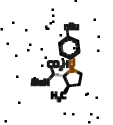 CCCCc1ccc([SH]2CC[C@@H](C)[C@@H]2C(NC)C(=O)O)cc1